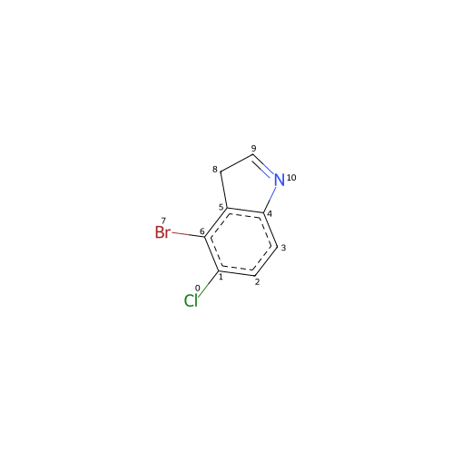 Clc1ccc2c(c1Br)CC=N2